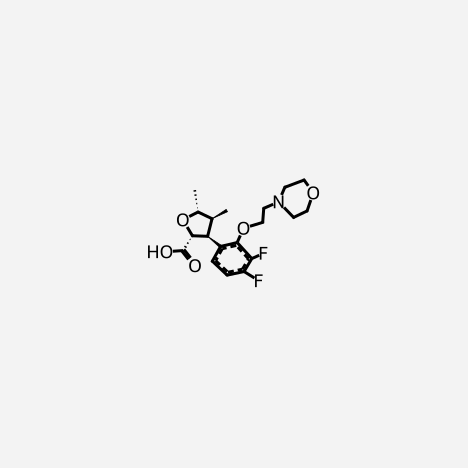 C[C@H]1[C@@H](c2ccc(F)c(F)c2OCCN2CCOCC2)[C@H](C(=O)O)O[C@@H]1C